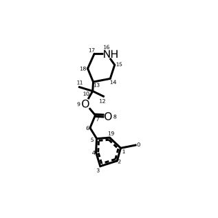 Cc1cccc(CC(=O)OC(C)(C)C2CCNCC2)c1